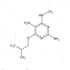 CNc1nc(N)nc(OCC(C)C)c1N